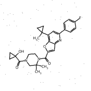 CC1(c2cc(-c3ccc(F)cc3)nc3cc(C(=O)N4CCN(C(=O)C5(O)CC5)CC4(C)C)oc23)CC1